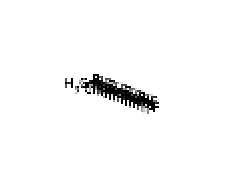 CC(C)CC(F)(F)C(F)(F)C(F)(F)C(F)(F)C(F)(F)C(F)(F)C(F)(F)C(F)(F)C(F)(F)C(F)(F)C(F)(F)C(F)(F)C(F)(F)C(F)(F)C(F)(F)C(F)(F)F